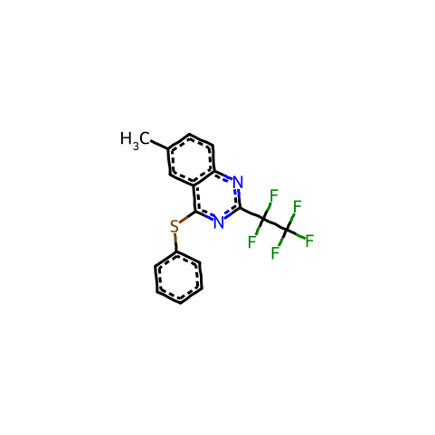 Cc1ccc2nc(C(F)(F)C(F)(F)F)nc(Sc3ccccc3)c2c1